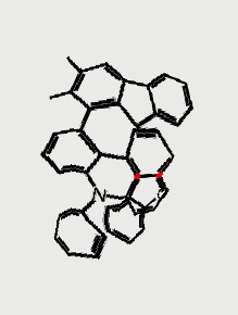 Cc1cc2c(c(-c3cccc(N(c4ccccc4)c4ccccc4)c3-c3cccc4oc5ccccc5c34)c1C)Cc1ccccc1-2